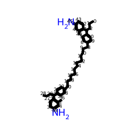 CCCC(c1ccc(CCCCCCCCCCCCCc2ccc(C(CCC)c3ccc(N)cc3C)cc2)cc1)c1ccc(N)cc1C